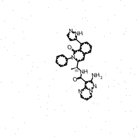 C[C@H](NC(=O)c1c(N)nn2cccnc12)c1cc2cccc(-c3ccn[nH]3)c2c(=O)n1-c1ccccc1